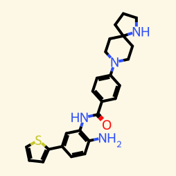 Nc1ccc(-c2cccs2)cc1NC(=O)c1ccc(N2CCC3(CCCN3)CC2)cc1